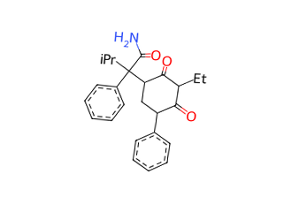 CCC1C(=O)C(c2ccccc2)CC(C(C(N)=O)(c2ccccc2)C(C)C)C1=O